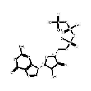 CCP(=O)(OC[C@H]1O[C@@H](n2cnc3c(=O)[nH]c(N)nc32)C(O)C1=O)OP(=O)(O)OP(=O)(O)O